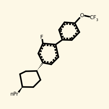 CCC[C@H]1CC[C@H](c2ccc(-c3ccc(OC(F)(F)F)cc3)c(F)c2)CC1